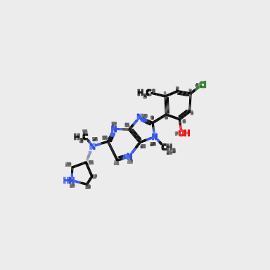 Cc1cc(Cl)cc(O)c1-c1nc2nc(N(C)[C@@H]3CCNC3)cnc2n1C